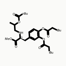 CCCCC(=O)OC(C)CN[C@@H](Cc1ccc(OC(=O)CC(C)CC)c(OC(=O)CC(C)CC)c1)C(=O)OC